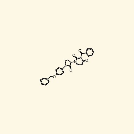 O=C1C(n2ccc(=O)n(C(=O)c3ccccc3)c2=O)CCN1c1ccc(OCc2ccccc2)cc1